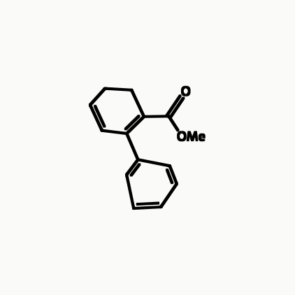 COC(=O)C1=C(c2ccccc2)C=CCC1